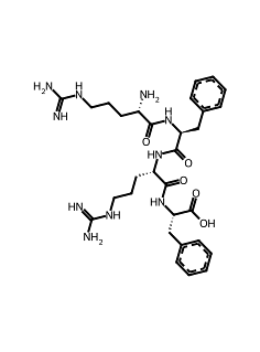 N=C(N)NCCC[C@H](NC(=O)[C@H](Cc1ccccc1)NC(=O)[C@@H](N)CCCNC(=N)N)C(=O)N[C@@H](Cc1ccccc1)C(=O)O